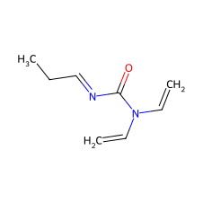 C=CN(C=C)C(=O)N=CCC